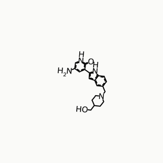 Nc1c[nH]c(=O)c(-c2cc3cc(CN4CCC(CO)CC4)ccc3[nH]2)c1